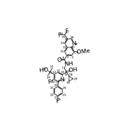 COc1cc(C(=O)NC[C@](O)(c2cc(C(C)(C)O)c(F)c(-c3ccc(F)cc3)n2)C2CC2)cc2cc(C(F)F)cnc12